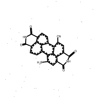 Bc1cc2c3c(cc(C#N)c4c5ccc6c7c(ccc(c1c34)c75)C(=O)NC6=O)C(=O)NC2=O